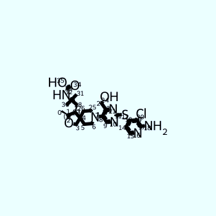 C[C@@H]1OCC2(CCN(c3cnc(Sc4ccnc(N)c4Cl)nc3CO)CC2)[C@@H]1CC(C)(C)NC(=O)O